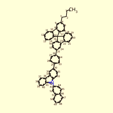 CCCCc1ccc2c(c1)-c1ccccc1C21c2ccccc2-c2cc(-c3ccc(-c4ccc5c(c4)c4ccccc4n5-c4ccc5ccccc5c4)cc3)ccc21